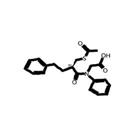 CC(=O)SC[C@H](CCc1ccccc1)C(=O)N(CC(=O)O)c1ccccc1